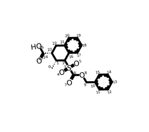 C[C@H]1C(S(=O)(=O)C(=O)OCc2ccccc2)c2ccccc2C[C@H]1C(=O)O